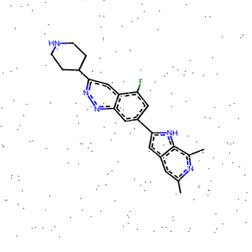 Cc1cc2cc(-c3cc(F)c4cc(C5CCNCC5)nnc4c3)[nH]c2c(C)n1